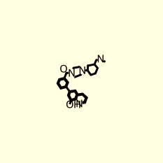 CN(C)CC1CCCC(N2CCN(C(=O)c3cccc(-c4cc(O)c5ncccc5c4)c3)CC2)C1